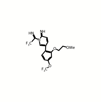 COCCOc1cc(OC(F)(F)F)ccc1-c1ccc(=N)n(C(=N)C(F)(F)F)c1